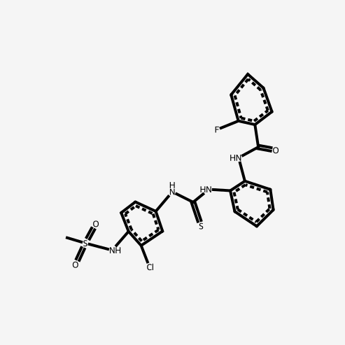 CS(=O)(=O)Nc1ccc(NC(=S)Nc2ccccc2NC(=O)c2ccccc2F)cc1Cl